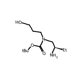 CC[C@@H](N)CN(CCCO)C(=O)OC(C)(C)C